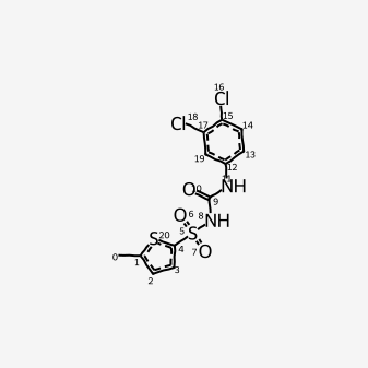 Cc1ccc(S(=O)(=O)NC(=O)Nc2ccc(Cl)c(Cl)c2)s1